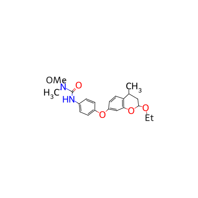 CCOC1CC(C)c2ccc(Oc3ccc(NC(=O)N(C)OC)cc3)cc2O1